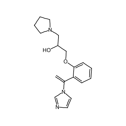 C=C(c1ccccc1OCC(O)CN1CCCC1)n1ccnc1